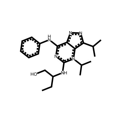 CCC(CO)Nc1nc(Nc2ccccc2)c2nnc(C(C)C)c-2n1C(C)C